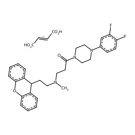 CN(CCC(=O)N1CCN(c2ccc(F)c(F)c2)CC1)CCC1c2ccccc2Oc2ccccc21.O=C(O)/C=C/C(=O)O